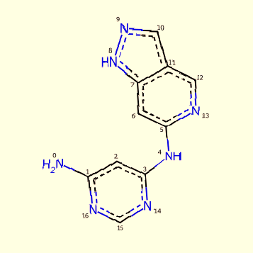 Nc1cc(Nc2cc3[nH]ncc3cn2)ncn1